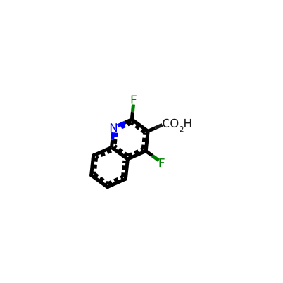 O=C(O)c1c(F)nc2ccccc2c1F